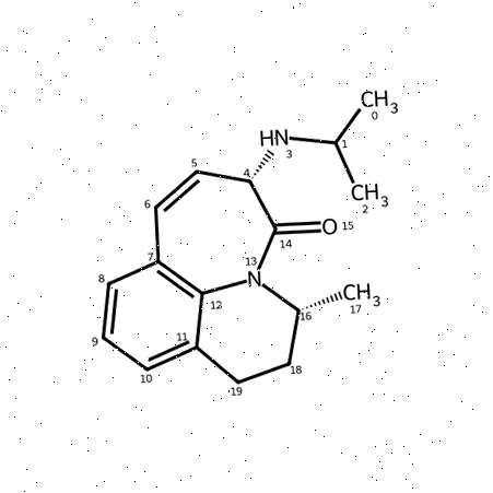 CC(C)N[C@H]1C=Cc2cccc3c2N(C1=O)[C@H](C)CC3